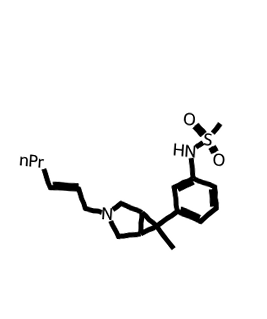 CCC/C=C/CN1CC2C(C1)C2(C)c1cccc(NS(C)(=O)=O)c1